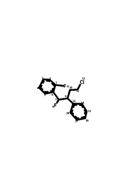 Fc1ccccc1C(F)C(CCCl)c1ccccc1